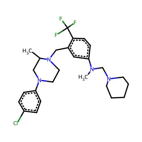 CC1CN(c2ccc(Cl)cc2)CCN1Cc1cc(N(C)CN2CCCCC2)ccc1C(F)(F)F